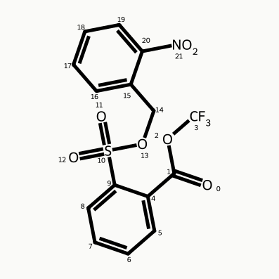 O=C(OC(F)(F)F)c1ccccc1S(=O)(=O)OCc1ccccc1[N+](=O)[O-]